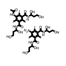 CC(=O)Nc1c(I)c(C(=O)NC(O)CCO)c(I)c(C(=O)NC(O)CCO)c1I.Nc1c(I)c(C(=O)NC(O)CCO)c(I)c(C(=O)NC(O)CCO)c1I